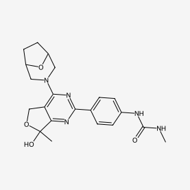 CNC(=O)Nc1ccc(-c2nc(N3CC4CCC(C3)O4)c3c(n2)C(C)(O)OC3)cc1